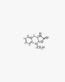 O=C(O)OC1OC(=O)NC1Cc1ccccc1